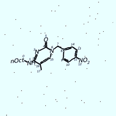 CCCCCCCCNc1nc(=O)n(Cc2ccc([N+](=O)[O-])cc2)cc1C